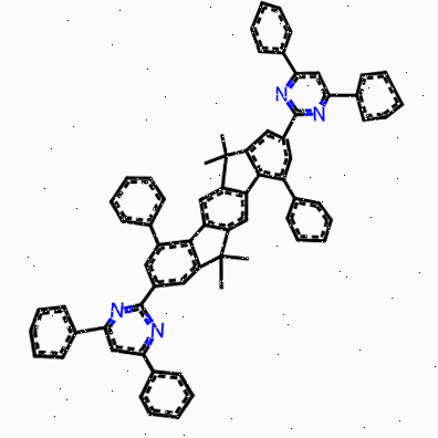 CC1(C)c2cc3c(cc2-c2c(-c4ccccc4)cc(-c4nc(-c5ccccc5)cc(-c5ccccc5)n4)cc21)C(C)(C)c1cc(-c2nc(-c4ccccc4)cc(-c4ccccc4)n2)cc(-c2ccccc2)c1-3